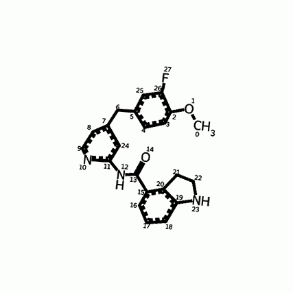 COc1ccc(Cc2ccnc(NC(=O)c3cccc4c3CCN4)c2)cc1F